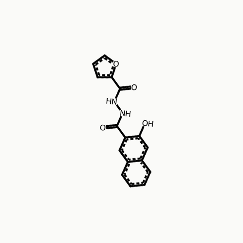 O=C(NNC(=O)c1cc2ccccc2cc1O)c1ccco1